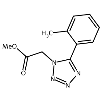 COC(=O)Cn1nnnc1-c1ccccc1C